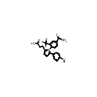 COc1ccc(-c2ccc(CCC(=O)O)n2-c2ccc(C(N)=O)cc2C(F)(F)F)cc1